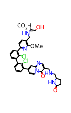 COc1nc(-c2cccc(-c3cccc(-c4ccn5c(=O)c(CNCC6CCC(=O)N6)cnc5c4)c3Cl)c2Cl)ccc1CN[C@@H](CO)C(=O)O